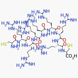 N=C(N)NCCC[C@H](NC(=O)[C@H](CCCNC(=N)N)NC(=O)[C@H](CCCNC(=N)N)NC(=O)[C@H](CCCNC(=N)N)NC(=O)[C@H](CCCNC(=N)N)NC(=O)[C@H](CCCNC(=N)N)NC(=O)[C@H](CCCNC(=N)N)NC(=O)[C@@H](N)CS)C(=O)N[C@@H](CS)C(=O)O